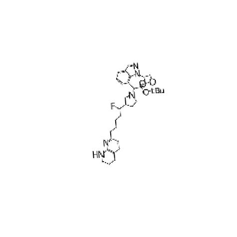 CC(C)(C)OC(=O)C(c1cccc2cnn(C3COC3)c12)N1CCC(C(F)CCCCc2ccc3c(n2)NCCC3)C1